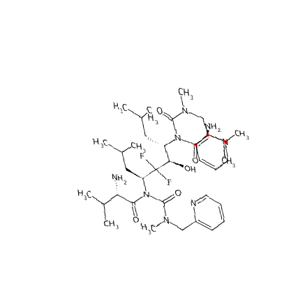 CC(C)C[C@H](N(C(=O)[C@@H](N)C(C)C)C(=O)N(C)Cc1ccccn1)C(F)(F)[C@H](O)[C@H](CC(C)C)N(C(=O)[C@@H](N)C(C)C)C(=O)N(C)Cc1ccccn1